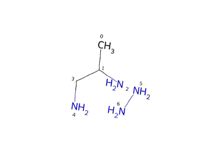 CC(N)CN.NN